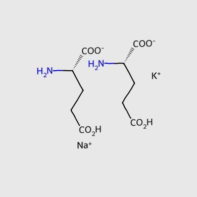 N[C@@H](CCC(=O)O)C(=O)[O-].N[C@@H](CCC(=O)O)C(=O)[O-].[K+].[Na+]